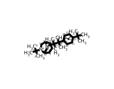 CC(C)(C)N1CC2CCCC1CN2C(C)(C)C(C)(C)C12CCC(C(C)(C)C)(CC1)CC2